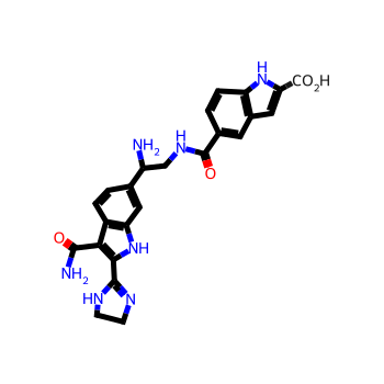 NC(=O)c1c(C2=NCCN2)[nH]c2cc(C(N)CNC(=O)c3ccc4[nH]c(C(=O)O)cc4c3)ccc12